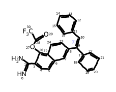 N=C(N)c1ccc2cc(/C(=C\c3ccccc3)c3ccccc3)ccc2c1OC(=O)C(F)(F)F